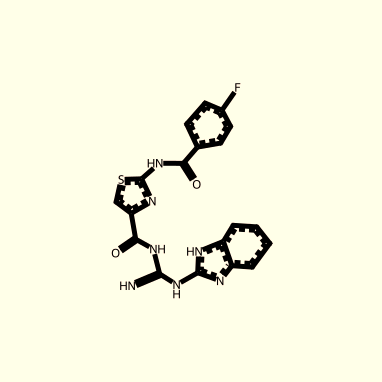 N=C(NC(=O)c1csc(NC(=O)c2ccc(F)cc2)n1)Nc1nc2ccccc2[nH]1